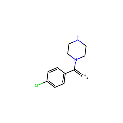 C=C(c1ccc(Cl)cc1)N1CCNCC1